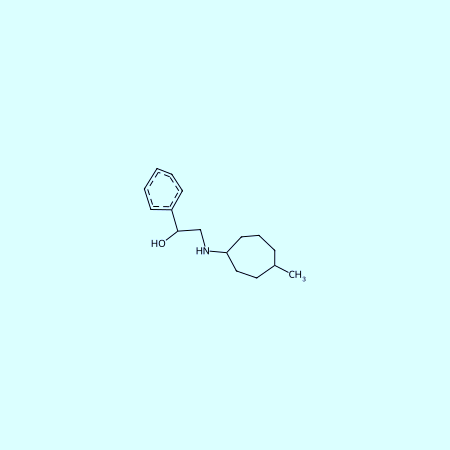 CC1CCCC(NCC(O)c2ccccc2)CC1